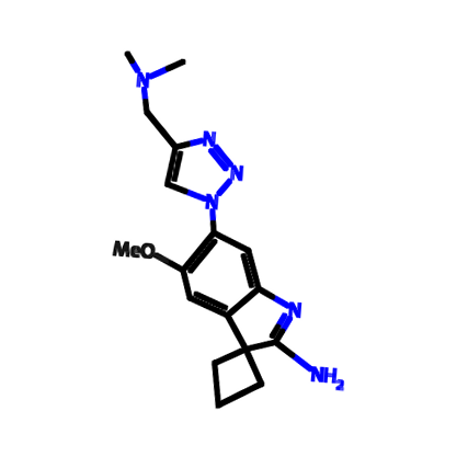 COc1cc2c(cc1-n1cc(CN(C)C)nn1)N=C(N)C21CCC1